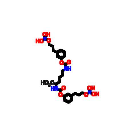 O=C(NCCCCC(NC(=O)Oc1cccc(CCCON(O)O)c1)C(=O)O)Oc1cccc(CCCON(O)O)c1